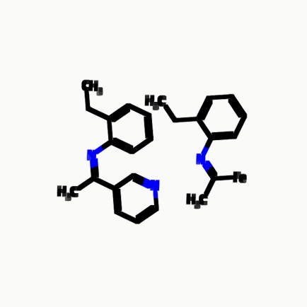 CCc1ccccc1N=C(C)c1cccnc1.CCc1ccccc1N=[C](C)[Fe]